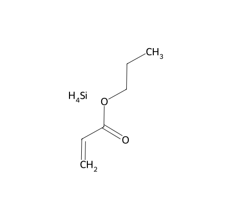 C=CC(=O)OCCC.[SiH4]